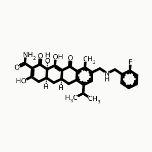 Cc1c(CNCc2ccccc2F)cc(C(C)C)c2c1C(=O)C1=C(O)[C@]3(O)C(=O)C(C(N)=O)=C(O)C[C@@H]3C[C@@H]1C2